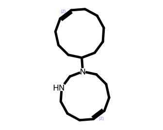 C1=C\CCCC(N2CCC/C=C\CCCNC2)CCCCC/1